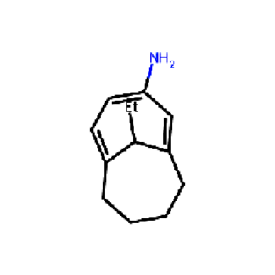 CCC1C2=CC=C(N)C=C1CCCC2